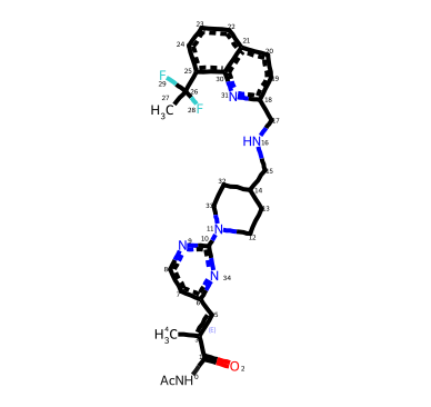 CC(=O)NC(=O)/C(C)=C/c1ccnc(N2CCC(CNCc3ccc4cccc(C(C)(F)F)c4n3)CC2)n1